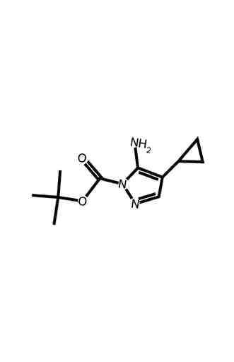 CC(C)(C)OC(=O)n1ncc(C2CC2)c1N